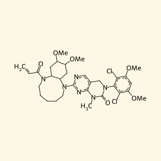 C=CC(=O)N1CCCCCN(c2ncc3c(n2)N(C)C(=O)N(c2c(Cl)c(OC)cc(OC)c2Cl)C3)C2CC(OC)C(OC)CC21